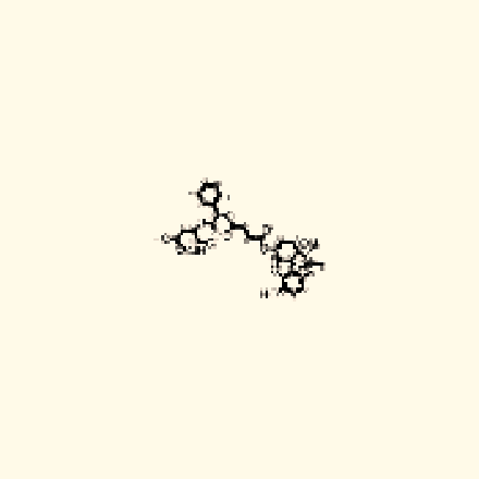 Cc1ccc(O)c2c1[C@]13CCN(C)[C@H](C)[C@]1(O)CC=C(OC(=O)CCC(=O)O[C@H](C(=O)O[C@H](CC(=O)O)C(=O)O)c1ccccc1)[C@@H]3O2